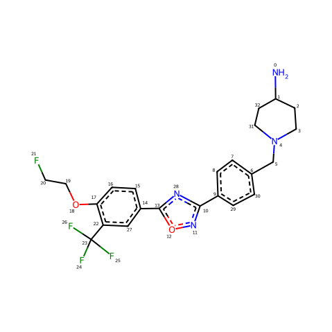 NC1CCN(Cc2ccc(-c3noc(-c4ccc(OCCF)c(C(F)(F)F)c4)n3)cc2)CC1